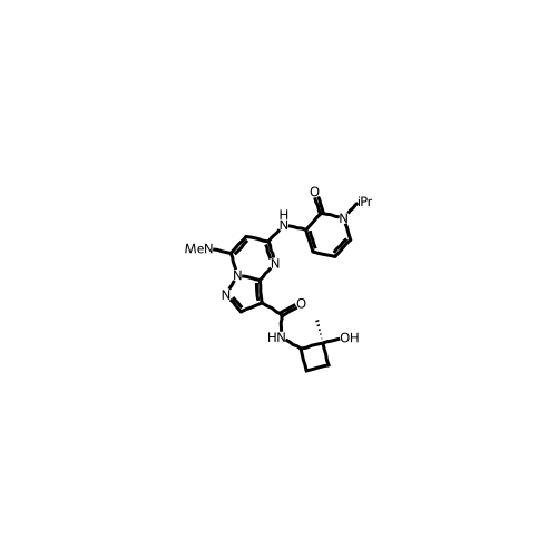 CNc1cc(Nc2cccn(C(C)C)c2=O)nc2c(C(=O)NC3CC[C@]3(C)O)cnn12